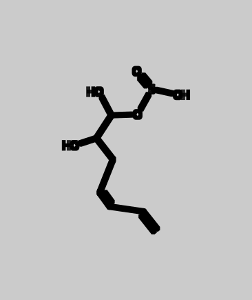 C=C/C=C\CC(O)C(O)OS(=O)O